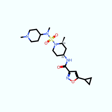 C[C@H]1C[C@@H](NC(=O)c2cc(C3CC3)on2)CCN1S(=O)(=O)N(C)C1CCN(C)CC1